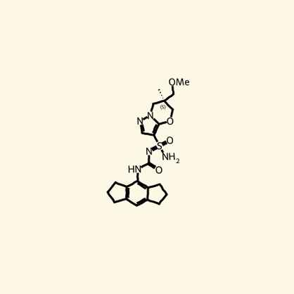 COC[C@@]1(C)COc2c(S(N)(=O)=NC(=O)Nc3c4c(cc5c3CCC5)CCC4)cnn2C1